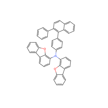 c1ccc(-c2ccc3ccccc3c2-c2ccc(N(c3cccc4c3oc3ccccc34)c3cccc4c3oc3ccccc34)cc2)cc1